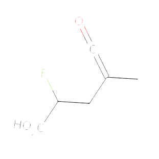 CC(=C=O)CC(F)C(=O)O